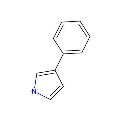 C1=CC(c2ccccc2)=C[N]1